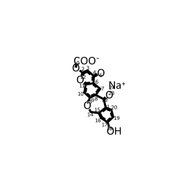 O=C([O-])Oc1cc(=O)c2cc3c(cc2o1)OCc1cc(O)ccc1C3=O.[Na+]